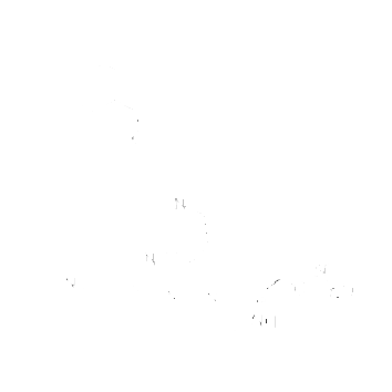 CN(C)CCOc1nc2c(c(N3CCN[C@H](CO[Si](C)(C)C(C)(C)C)C3)n1)CCN(c1cc(OCc3ccccc3)cc3ccccc13)C2